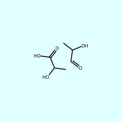 CC(O)C(=O)O.CC(O)C=O